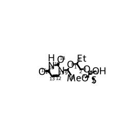 CCC(COP(O)(=S)OC)OC(C)n1ccc(=O)[nH]c1=O